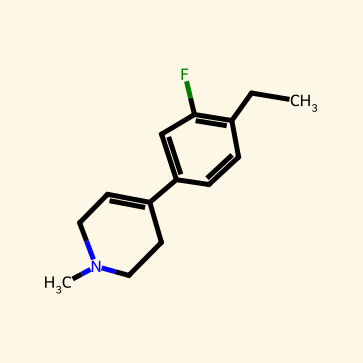 CCc1ccc(C2=CCN(C)CC2)cc1F